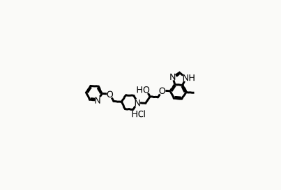 Cc1ccc(OCC(O)CN2CCC(COc3ccccn3)CC2)c2nc[nH]c12.Cl